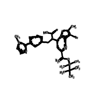 C=C(O[Si](C)(C)C(C)(C)C)c1cc(N(Cc2cccc(-c3nccn3C)c2)C(=O)O)n2nc(C)c(Br)c2n1